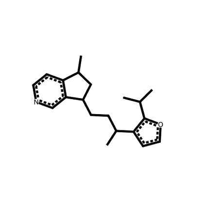 CC(C)c1occc1C(C)CCC1CC(C)c2ccncc21